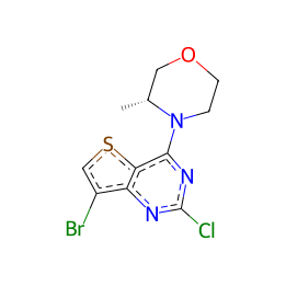 C[C@@H]1COCCN1c1nc(Cl)nc2c(Br)csc12